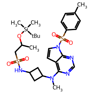 Cc1ccc(S(=O)(=O)n2ccc3c(N(C)C4CC(NS(=O)(=O)CC(C)O[Si](C)(C)C(C)(C)C)C4)ncnc32)cc1